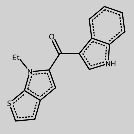 CCn1c(C(=O)c2c[nH]c3ccccc23)cc2ccsc21